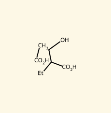 CC(=O)O.CCC(CO)C(=O)O